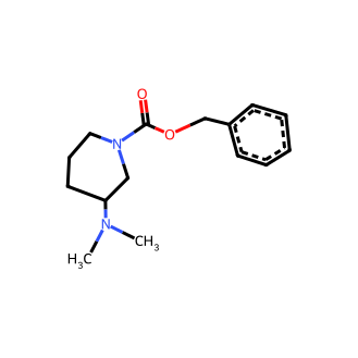 CN(C)C1CCCN(C(=O)OCc2ccccc2)C1